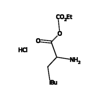 CCOC(=O)OC(=O)C(N)CC(C)CC.Cl